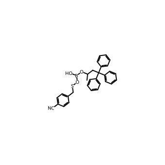 CC(CC(c1ccccc1)(c1ccccc1)c1ccccc1)OB(O)OSCc1ccc(C#N)cc1